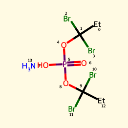 CCC(Br)(Br)OP(=O)(O)OC(Br)(Br)CC.N